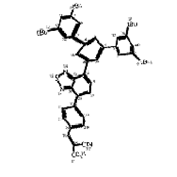 CC(C)(C)c1cc(-c2cc(-c3cc(C(C)(C)C)cc(C(C)(C)C)c3)cc(-c3ccc(-c4ccc(/C=C(\C#N)C(=O)O)cc4)c4nsnc34)c2)cc(C(C)(C)C)c1